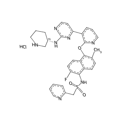 Cc1ccc2c(NS(=O)(=O)Cc3ccccn3)c(F)ccc2c1Oc1ncccc1-c1ccnc(N[C@H]2CCCNC2)n1.Cl